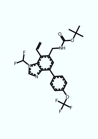 C=Cc1c(CNC(=O)OC(C)(C)C)cc(-c2ccc(OC(F)(F)F)cc2)c2ncn(C(F)F)c12